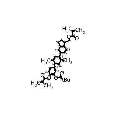 C=C(C)C(=O)OCC1CCc2cc(-c3cc(C)c(-c4ccc(OC(=O)C(=C)C)c(OC(=O)C(C)(C)C)c4)cc3C)ccc21